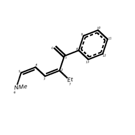 C=C(/C(=C\C=C/NC)CC)c1ccccc1